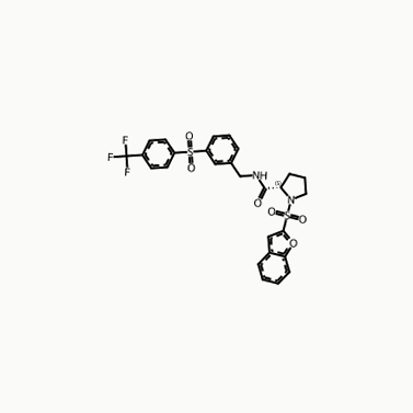 O=C(NCc1cccc(S(=O)(=O)c2ccc(C(F)(F)F)cc2)c1)[C@@H]1CCCN1S(=O)(=O)c1cc2ccccc2o1